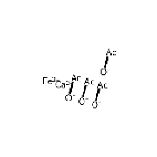 CC(=O)[O-].CC(=O)[O-].CC(=O)[O-].CC(=O)[O-].[Ca+2].[Fe+2]